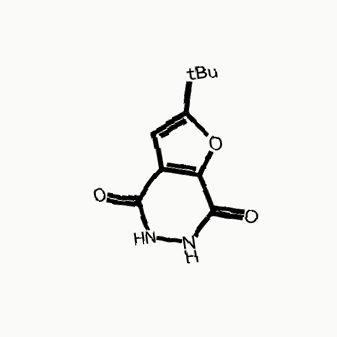 CC(C)(C)c1cc2c(=O)[nH][nH]c(=O)c2o1